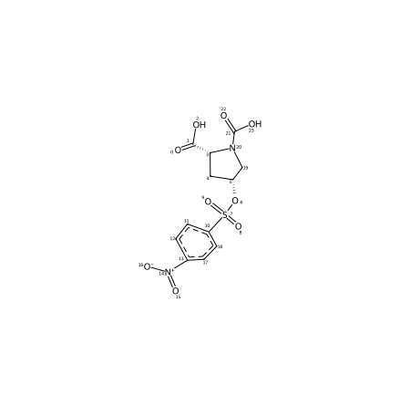 O=C(O)[C@H]1C[C@@H](OS(=O)(=O)c2ccc([N+](=O)[O-])cc2)CN1C(=O)O